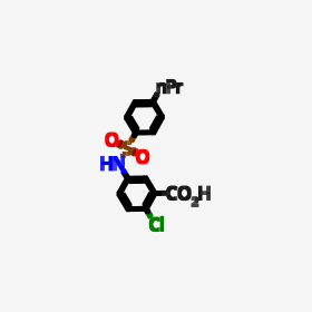 CCCc1ccc(S(=O)(=O)Nc2ccc(Cl)c(C(=O)O)c2)cc1